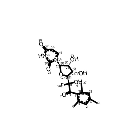 Cc1cc(C)c(C(=O)C(O)(F)[C@H]2O[C@@H](n3ccc(=O)[nH]c3=O)[C@H](O)[C@@H]2O)c(C)c1